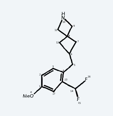 COc1ccc(CC2CC3(CNC3)C2)c(C(F)F)c1